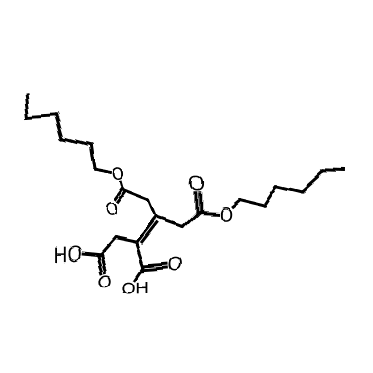 CCCCCCOC(=O)CC(CC(=O)OCCCCCC)=C(CC(=O)O)C(=O)O